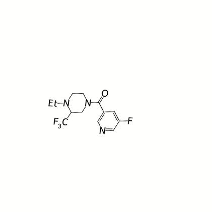 CCN1CCN(C(=O)c2cncc(F)c2)CC1C(F)(F)F